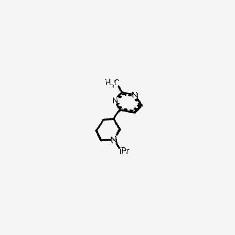 Cc1nccc(C2CCCN(C(C)C)C2)n1